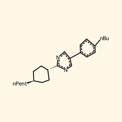 CCCCC[C@H]1CC[C@H](c2ncc(-c3ccc(CCCC)cc3)cn2)CC1